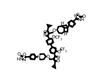 O=c1[nH]c(-c2ccc(C34C[C@H]5CC[C@H](OCc6c(-c7ccc(-c8ccc(-c9noc(C%10CC%10)c9COC9CCN(c%10ccc(-c%11n[nH]c(=O)o%11)cc%10)CC9)c(OC(F)(F)F)c8)cc7OC(F)(F)F)noc6C6CC6)C[C@H](C3)C54)cc2)no1